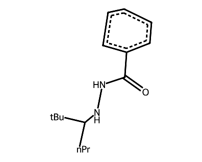 CCCC(NNC(=O)c1ccccc1)C(C)(C)C